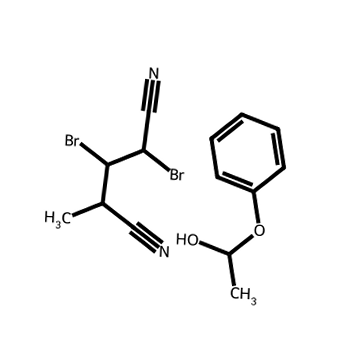 CC(C#N)C(Br)C(Br)C#N.CC(O)Oc1ccccc1